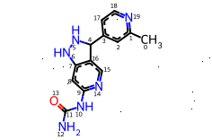 Cc1cc(C2NNc3cc(NC(N)=O)ncc32)ccn1